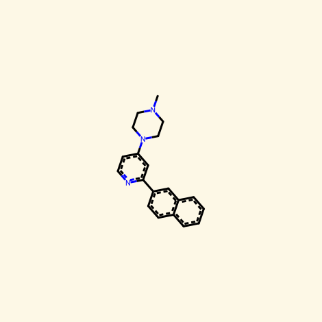 CN1CCN(c2ccnc(-c3ccc4ccccc4c3)c2)CC1